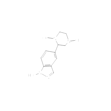 CC(C)N1CCN(C)CC1c1ccc2c(cnn2C)c1